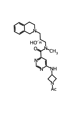 CC(=O)N1CC(Nc2cc(C(=O)N(C)C[C@H](O)CN3CCc4ccccc4C3)ncn2)C1